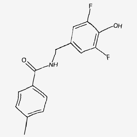 Cc1ccc(C(=O)NCc2cc(F)c(O)c(F)c2)cc1